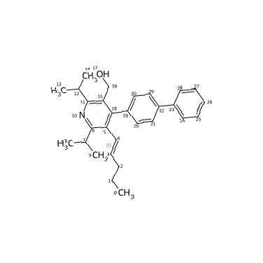 CCC/C=C/c1c(C(C)C)nc(C(C)C)c(CO)c1-c1ccc(-c2ccccc2)cc1